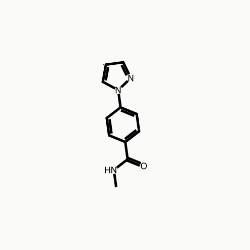 CNC(=O)c1ccc(-n2c[c]cn2)cc1